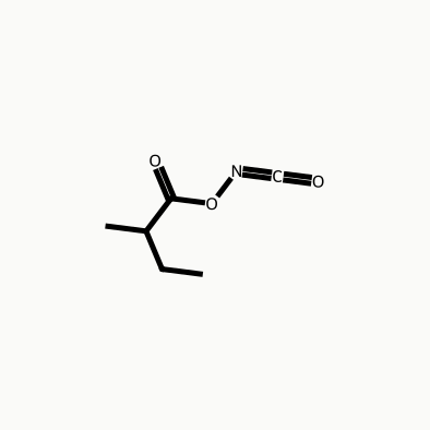 CCC(C)C(=O)ON=C=O